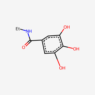 CCNC(=O)c1cc(O)c(O)c(O)c1